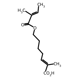 CC=C(C)C(=O)OCCCCC=C(C)C(=O)O